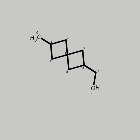 CC1CC2(C1)CC(CO)C2